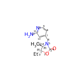 CC[C@H]1OC(=O)N(Cc2ccnc(N)c2)[C@@H]1C